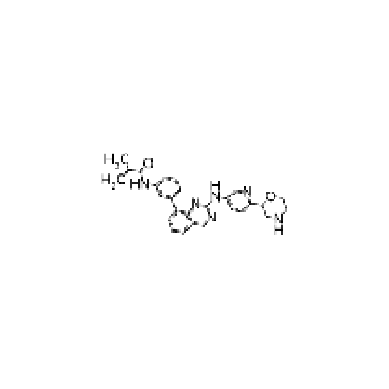 C=C(C)C(=O)Nc1cccc(-c2cccc3cnc(Nc4ccc(C5CNCCO5)nc4)nc23)c1